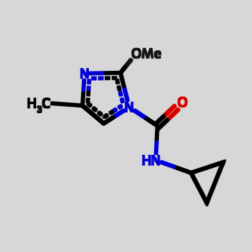 COc1nc(C)cn1C(=O)NC1CC1